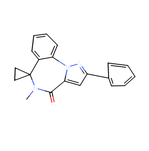 CN1C(=O)c2cc(-c3ccccc3)nn2-c2ccccc2C12CC2